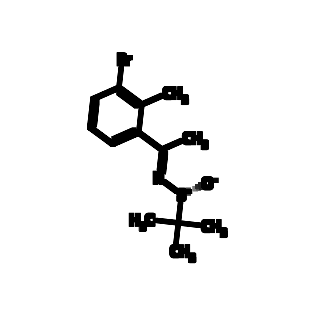 C/C(=N\[S@+]([O-])C(C)(C)C)c1cccc(Br)c1C